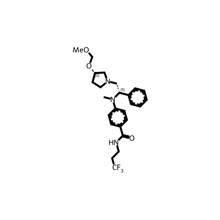 COCO[C@H]1CCN(C[C@H](c2ccccc2)N(C)c2ccc(C(=O)NCCC(F)(F)F)cc2)C1